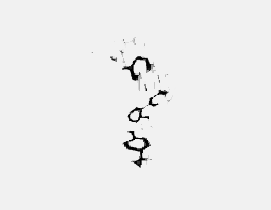 CCN(CC)Cc1ccc(Nc2cc(-c3cccc(NC(=O)c4ccc(C5(F)CC5)cc4)c3CO)cn(C)c2=O)nc1